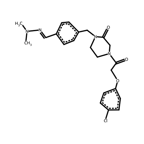 CN(C)N=Cc1ccc(CN2CCN(C(=O)COc3ccc(Cl)cc3)CC2=O)cc1